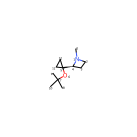 CN1CC[C@H]1C1(OC(C)(C)C)CC1